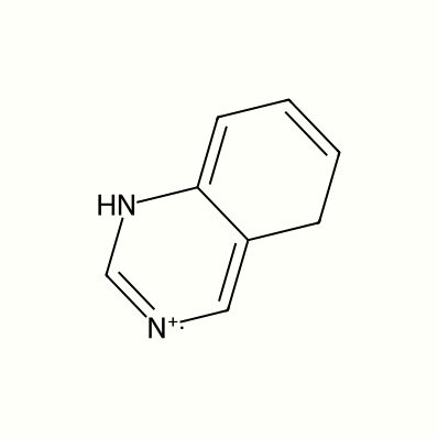 C1=CCC2=C[N+]=CNC2=C1